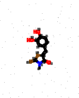 CN1C(=O)C(=Cc2ccc(O)c(O)c2)SC1=S